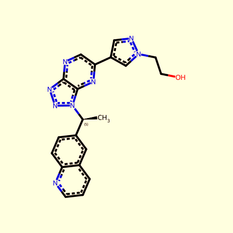 C[C@@H](c1ccc2ncccc2c1)n1nnc2ncc(-c3cnn(CCO)c3)nc21